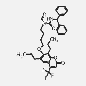 CCCc1cc2c(C(F)(F)F)cc(=O)oc2c(CCC)c1OCCCCN(C=O)C(=O)NC(c1ccccc1)c1ccccc1